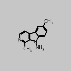 Cc1ccc2c(c1)c1ccnc(C)c1n2N